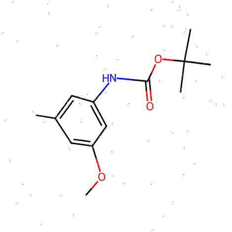 COc1cc(C)cc(NC(=O)OC(C)(C)C)c1